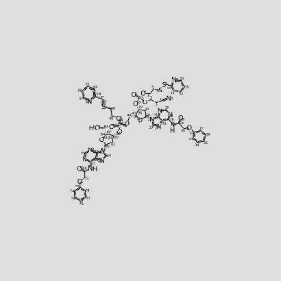 N#CCCOP(=O)(OCCSSc1ccccn1)O[C@@H]1C[C@H](n2cnc3c(NC(=O)COc4ccccc4)ncnc32)O[C@@H]1COP(=O)(OCCSSc1ccccn1)O[C@@H]1C[C@H](n2cnc3c(NC(=O)COc4ccccc4)ncnc32)O[C@@H]1CO